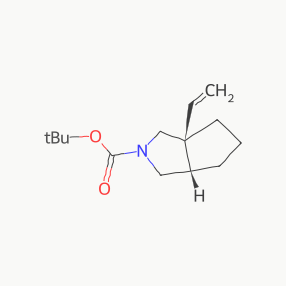 C=C[C@@]12CCC[C@@H]1CN(C(=O)OC(C)(C)C)C2